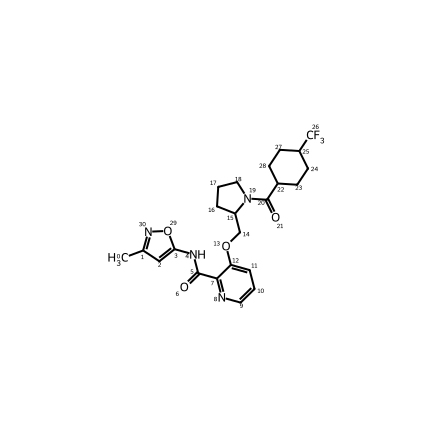 Cc1cc(NC(=O)c2ncccc2OCC2CCCN2C(=O)C2CCC(C(F)(F)F)CC2)on1